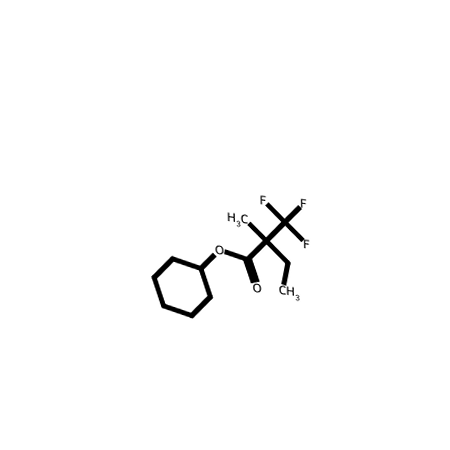 CCC(C)(C(=O)OC1CCCCC1)C(F)(F)F